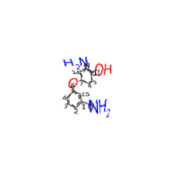 Nc1cccc(Oc2ccc(O)c(N)c2)c1